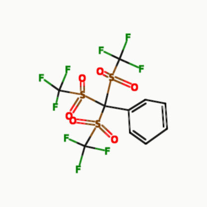 O=S(=O)(C(F)(F)F)C(c1ccccc1)(S(=O)(=O)C(F)(F)F)S(=O)(=O)C(F)(F)F